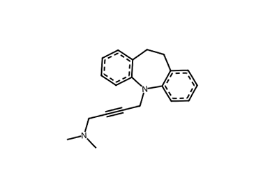 CN(C)CC#CCN1c2ccccc2CCc2ccccc21